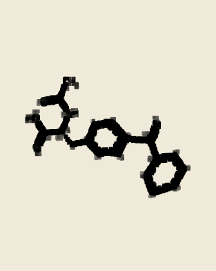 CC(=O)N[C@H](Cc1ccc(C(=O)c2ccccc2)cc1)C(=O)O